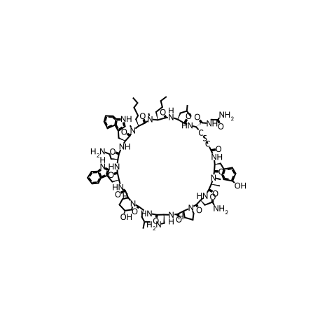 CCCCC[C@H]1C(=O)N(C)[C@@H](CCCC)C(=O)N[C@@H](CC(C)C)C(=O)N[C@H](C(=O)NCC(N)=O)CSCC(=O)N[C@@H](Cc2ccc(O)cc2)C(=O)N(C)[C@@H](C)C(=O)N[C@@H](CC(N)=O)C(=O)N2CCC[C@H]2C(=O)N[C@@H](CN)C(=O)N[C@@H](CC(C)C)C(=O)N2C[C@@H](O)CC[C@H]2C(=O)N[C@@H](Cc2c[nH]c3ccccc23)C(=O)N[C@@H](CCN)C(=O)N[C@@H](Cc2c[nH]c3ccccc23)C(=O)N1C